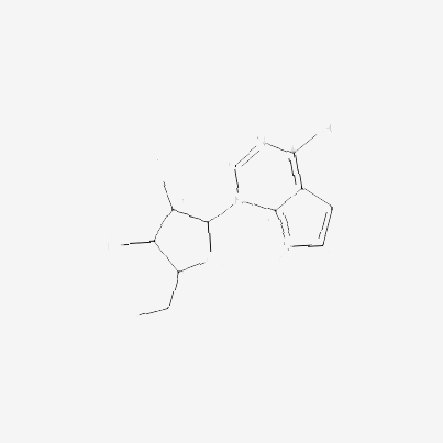 OCC1OC(n2cnc(O)c3ccnc2-3)C(O)C1O